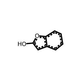 Oc1cc2ccccc2o1